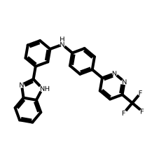 FC(F)(F)c1ccc(-c2ccc(Nc3cccc(-c4nc5ccccc5[nH]4)c3)cc2)nn1